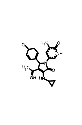 CC(=N)C1=C(NC2CC2)C(=O)N(c2c[nH]c(=O)c(C)c2)C1C1=CCC(Cl)C=C1